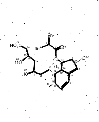 CCCC(CCC)C(=O)O[C@H]1C[C@H](O)C=C2C=C[C@H](C)[C@H](CCC(O)C[C@@H](O)CC(=O)O)[C@H]21